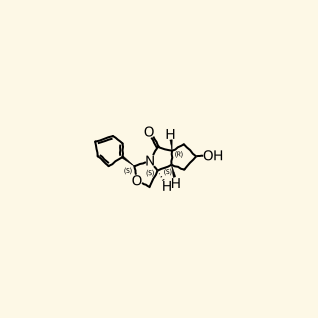 O=C1[C@@H]2CC(O)C[C@@H]2[C@H]2CO[C@@H](c3ccccc3)N12